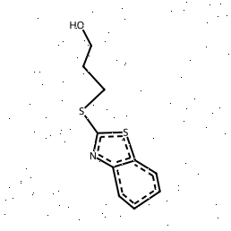 OCCCSc1nc2ccccc2s1